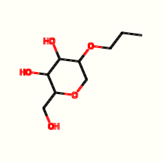 CCCOC1COC(CO)C(O)C1O